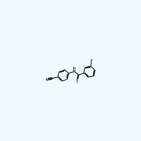 N#Cc1ccc(NC(=S)c2cccc(F)c2)cc1